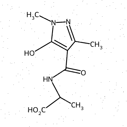 Cc1nn(C)c(O)c1C(=O)NC(C)C(=O)O